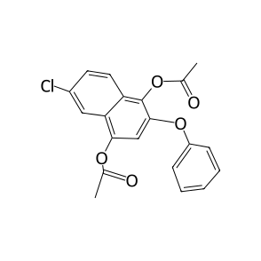 CC(=O)Oc1cc(Oc2ccccc2)c(OC(C)=O)c2ccc(Cl)cc12